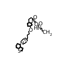 C=CCNC(=O)OCN1C(=O)CCc2ccc(OCCCCN3CCN(c4cccc5sccc45)CC3)cc21